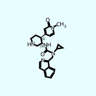 Cn1ccc([C@@H]2CCNC[C@H]2NC(=O)N(Cc2nccc3ccccc23)C2CC2)cc1=O